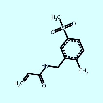 C=CC(=O)NCc1cc(S(C)(=O)=O)ccc1C